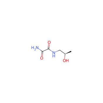 C[C@@H](O)CNC(=O)C(N)=O